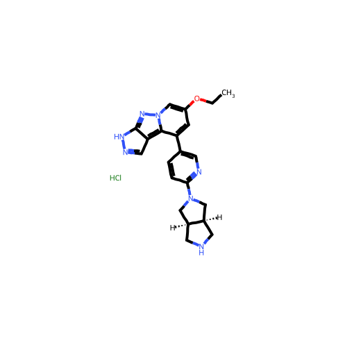 CCOc1cc(-c2ccc(N3C[C@H]4CNC[C@H]4C3)nc2)c2c3cn[nH]c3nn2c1.Cl